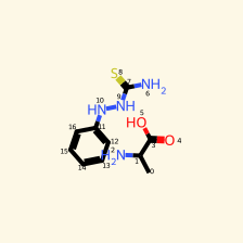 CC(N)C(=O)O.NC(=S)NNc1ccccc1